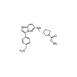 CC(C)(C)OC(=O)N1CC[C@@H](CNc2ccc3ncc(-c4ccc(CN)cc4)n3n2)C1